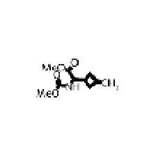 C=C1CC(C(NC(=O)OC)C(=O)OC)C1